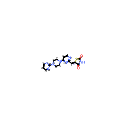 O=C1NC(=O)/C(=C/c2nccc(N3CCN(c4ncccn4)CC3)n2)S1